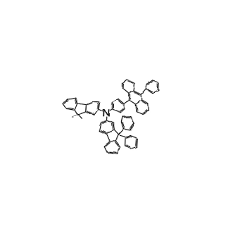 CC1(C)c2ccccc2-c2ccc(N(c3ccc(-c4c5ccccc5c(-c5ccccc5)c5ccccc45)cc3)c3ccc4c(c3)C(c3ccccc3)(c3ccccc3)c3ccccc3-4)cc21